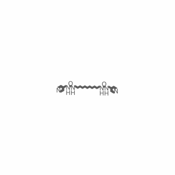 O=C(NCCCCCCCCCCCNC(=O)NCc1ccncc1)NCc1ccncc1